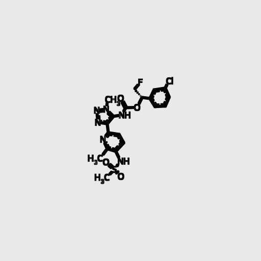 Cc1nc(-c2nnn(C)c2NC(=O)O[C@H](CF)c2cccc(Cl)c2)ccc1NS(C)(=O)=O